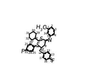 Cc1cccc(N=C(CC(Sc2ccc(F)cc2)Sc2ccc(F)cc2)SCC2CCCCC2)c1